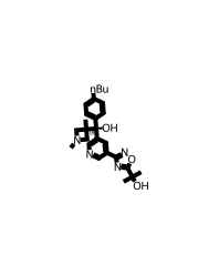 CCCCc1ccc([C@](O)(c2cncc(-c3noc(C(C)(C)O)n3)c2)C2(C)CN(C)C2)cc1